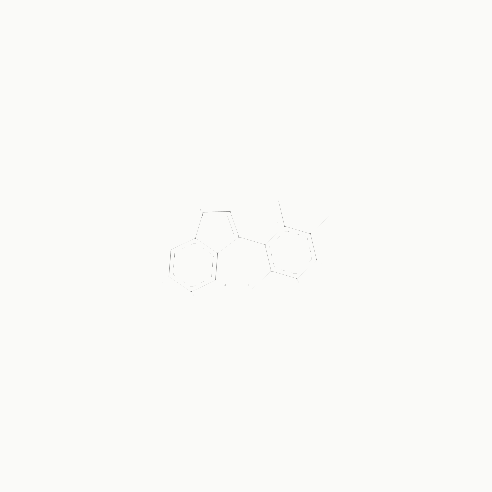 Cc1ccc(C)c(C2=C[CH]c3ccccc32)c1C